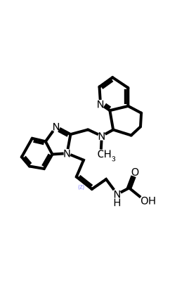 CN(Cc1nc2ccccc2n1C/C=C\CNC(=O)O)C1CCCc2cccnc21